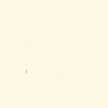 CCC(CC)(C(=O)O)C(C(=O)O)C1CC1